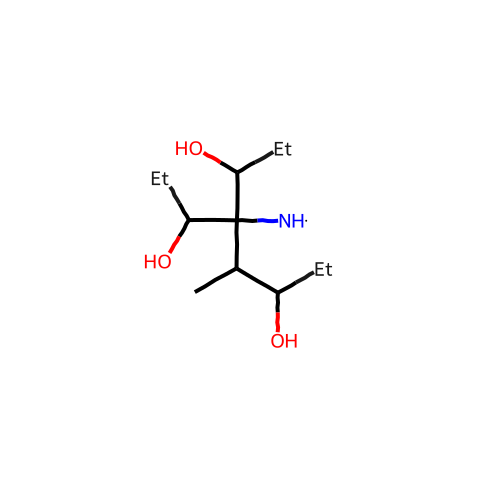 CCC(O)C(C)C([NH])(C(O)CC)C(O)CC